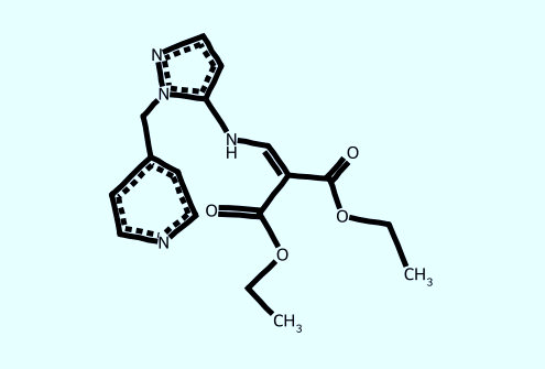 CCOC(=O)C(=CNc1ccnn1Cc1ccncc1)C(=O)OCC